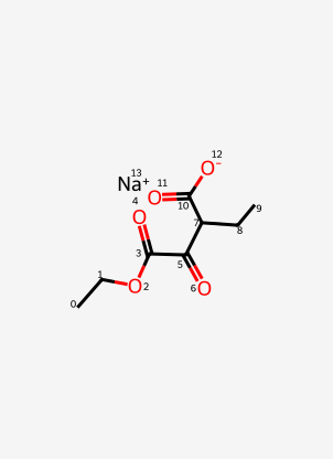 CCOC(=O)C(=O)C(CC)C(=O)[O-].[Na+]